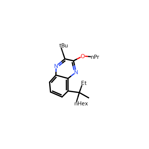 CCCCCCC(C)(CC)c1cccc2nc(C(C)(C)C)c(OCCC)nc12